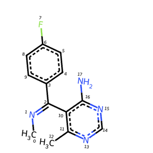 C/N=C(/c1ccc(F)cc1)c1c(C)ncnc1N